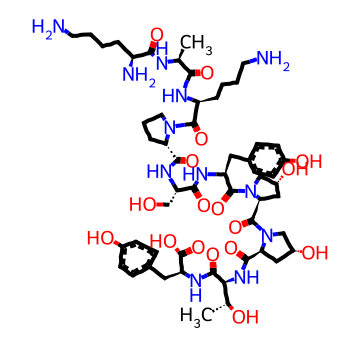 C[C@H](NC(=O)[C@@H](N)CCCCN)C(=O)N[C@@H](CCCCN)C(=O)N1CCC[C@H]1C(=O)N[C@@H](CO)C(=O)N[C@@H](Cc1ccc(O)cc1)C(=O)N1C[C@H](O)C[C@H]1C(=O)N1C[C@H](O)C[C@H]1C(=O)N[C@H](C(=O)N[C@@H](Cc1ccc(O)cc1)C(=O)O)[C@@H](C)O